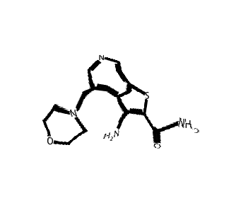 NC(=O)c1sc2cncc(N3CCOCC3)c2c1N